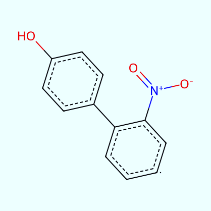 O=[N+]([O-])c1c[c]ccc1-c1ccc(O)cc1